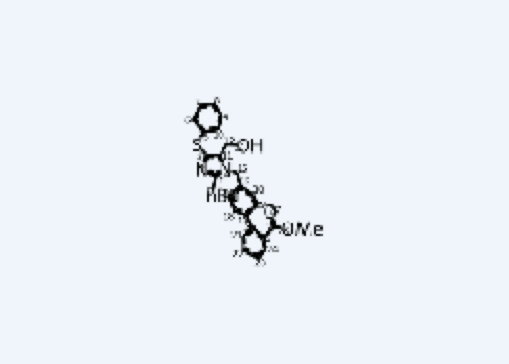 CCCCc1nc(Sc2ccccc2)c(CO)n1Cc1ccc(-c2ccccc2C(=O)OC)cc1